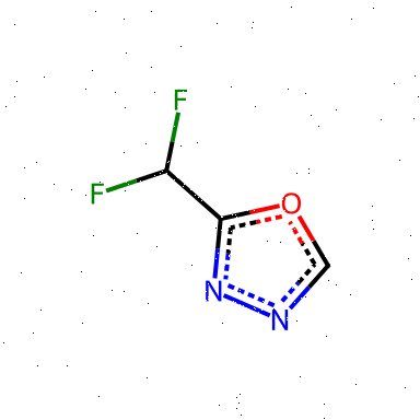 FC(F)c1nnco1